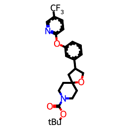 CC(C)(C)OC(=O)N1CCC2(CC1)CC(c1cccc(Oc3ccc(C(F)(F)F)cn3)c1)CO2